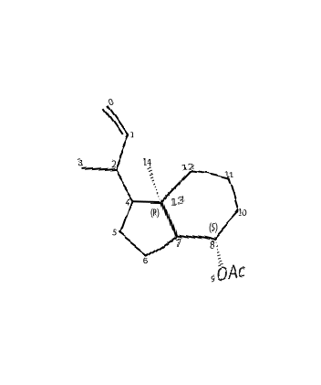 C=CC(C)C1CCC2[C@@H](OC(C)=O)CCC[C@]12C